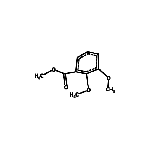 COC(=O)c1cccc(OC)c1OC